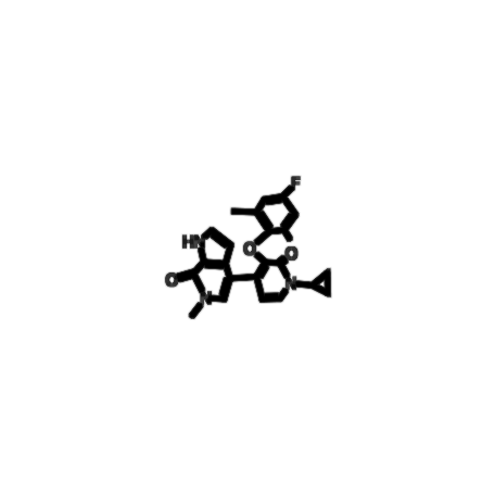 Cc1cc(F)cc(C)c1Oc1c(-c2cn(C)c(=O)c3[nH]ccc23)ccn(C2CC2)c1=O